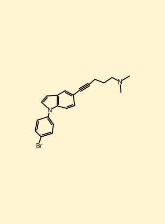 CN(C)CCCC#Cc1ccc2c(ccn2-c2ccc(Br)cc2)c1